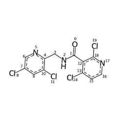 O=C(NCc1ncc(Cl)cc1Cl)c1c(Cl)ccnc1Cl